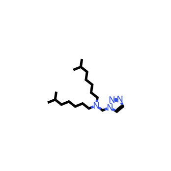 CC(C)CCCCCN(CCCCCC(C)C)Cn1ccnn1